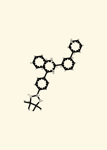 CC1(C)OB(c2ccc(-c3nc(-c4cccc(-c5cccnc5)c4)nc4ccccc34)cc2)OC1(C)C